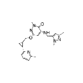 Cc1cccc([C@@H]2CC2COc2cc(NCc3cc(C)nn3C)c(=O)n(C)n2)n1